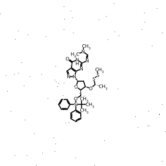 CSS[C@H](C)O[C@@H]1C[C@H](n2ncc3c(=O)[nH]c(/N=C\N(C)C)nc32)O[C@@H]1CO[Si](c1ccccc1)(c1ccccc1)C(C)(C)C